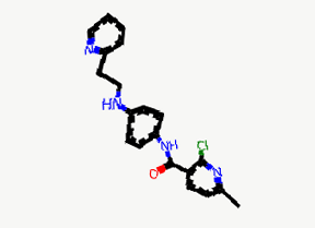 Cc1ccc(C(=O)Nc2ccc(NCCc3ccccn3)cc2)c(Cl)n1